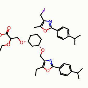 CCOC(CO[C@@H]1CCC[C@H](OCc2nc(-c3ccc(C(C)C)cc3)oc2CC)C1)C(=O)O.Cc1oc(-c2ccc(C(C)C)cc2)nc1CI